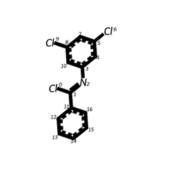 ClC(=Nc1cc(Cl)cc(Cl)c1)c1ccccc1